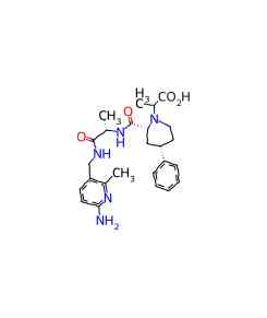 Cc1nc(N)ccc1CNC(=O)[C@H](C)NC(=O)[C@H]1C[C@@H](c2ccccc2)CCN1C(C)C(=O)O